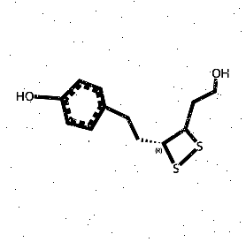 OCCC1SS[C@@H]1CCc1ccc(O)cc1